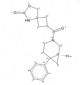 O=C1NC2(CO1)CC(C(=O)N1CCC3(c4ccccc4)C[C@@H]3C1)C2